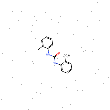 Cc1ccccc1NC(=O)Nc1ccccc1C(=O)O